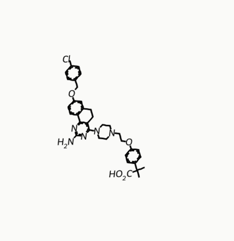 CC(C)(C(=O)O)c1ccc(OCCN2CCN(c3nc(N)nc4c3CCc3cc(OCc5ccc(Cl)cc5)ccc3-4)CC2)cc1